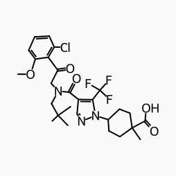 COc1cccc(Cl)c1C(=O)CN(CC(C)(C)C)C(=O)c1cnn(C2CCC(C)(C(=O)O)CC2)c1C(F)(F)F